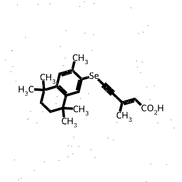 C/C(C#C[Se]c1cc2c(cc1C)C(C)(C)CCC2(C)C)=C\C(=O)O